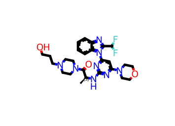 C[C@H](Nc1nc(N2CCOCC2)cc(-n2c(C(F)F)nc3ccccc32)n1)C(=O)N1CCN(CCCO)CC1